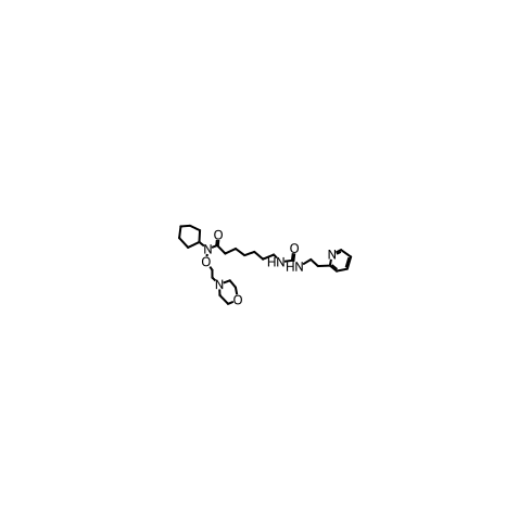 O=C(NCCCCCCC(=O)N(OCCN1CCOCC1)C1CCCCC1)NCCc1ccccn1